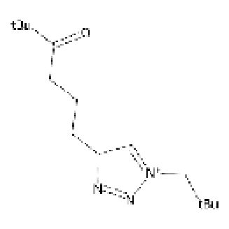 CC(C)(C)C[N+]1=CC(CCCC(=O)C(C)(C)C)N=N1